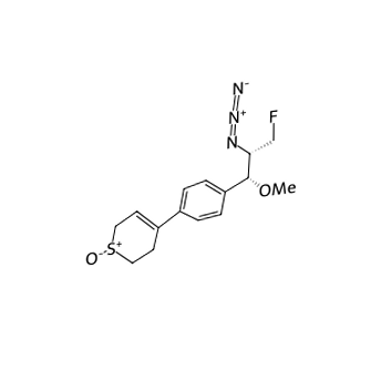 CO[C@H](c1ccc(C2=CC[S+]([O-])CC2)cc1)[C@@H](CF)N=[N+]=[N-]